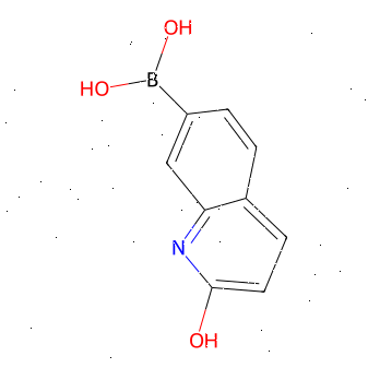 OB(O)c1ccc2ccc(O)nc2c1